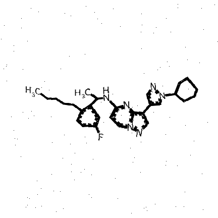 CCCCCc1ccc(F)cc1C(C)Nc1ccn2ncc(-c3cnn(C4CCCCC4)c3)c2n1